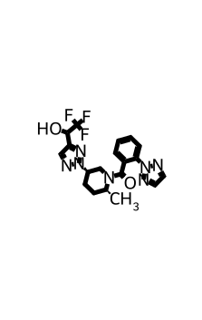 C[C@@H]1CC[C@@H](n2ncc(C(O)C(F)(F)F)n2)CN1C(=O)c1ccccc1-n1nccn1